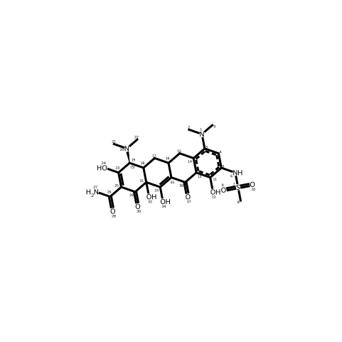 CN(C)c1cc(NS(C)(=O)=O)c(O)c2c1CC1CC3[C@H](N(C)C)C(O)=C(C(N)=O)C(=O)C3(O)C(O)=C1C2=O